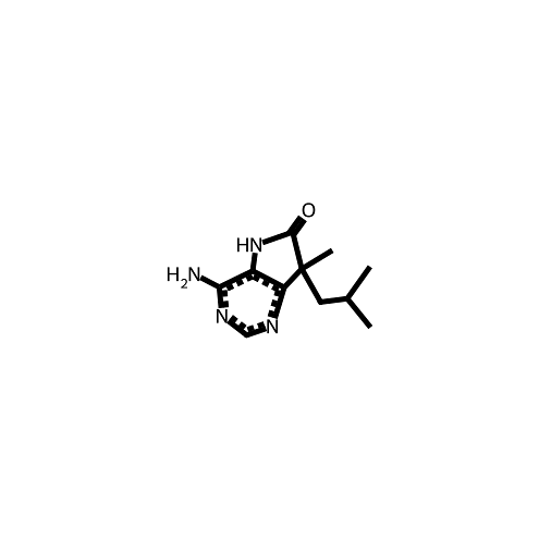 CC(C)CC1(C)C(=O)Nc2c(N)ncnc21